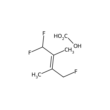 CC(CF)=C(C)C(F)F.O=C(O)O